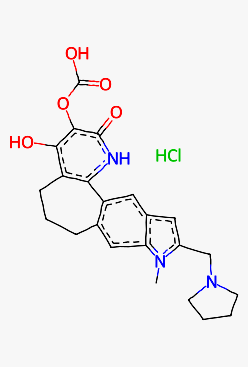 Cl.Cn1c(CN2CCCC2)cc2cc3c(cc21)CCCc1c-3[nH]c(=O)c(OC(=O)O)c1O